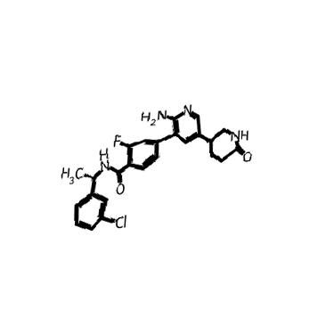 C[C@@H](NC(=O)c1ccc(-c2cc(C3CCC(=O)NC3)cnc2N)cc1F)c1cccc(Cl)c1